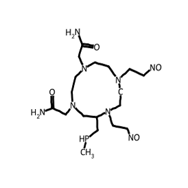 CPCC1CN(CC(N)=O)CCN(CC(N)=O)CCN(CCN=O)CCN1CCN=O